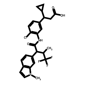 CC(C(C(=O)Nc1cc(C(CC(=O)O)C2CC2)ccc1Cl)c1ccc2ccn(C)c2c1)C(F)(F)F